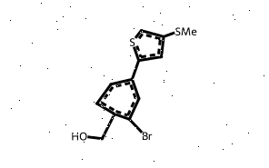 CSc1csc(-c2ccc(CO)c(Br)c2)c1